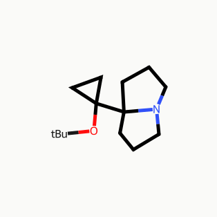 CC(C)(C)OC1(C23CCCN2CCC3)CC1